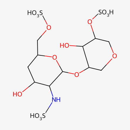 O=S(=O)(O)NC1C(O)CC(COS(=O)(=O)O)OC1OC1COCC(OS(=O)(=O)O)C1O